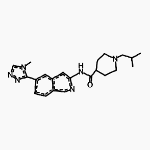 CC(C)CN1CCC(C(=O)Nc2cc3cc(-c4nncn4C)ccc3cn2)CC1